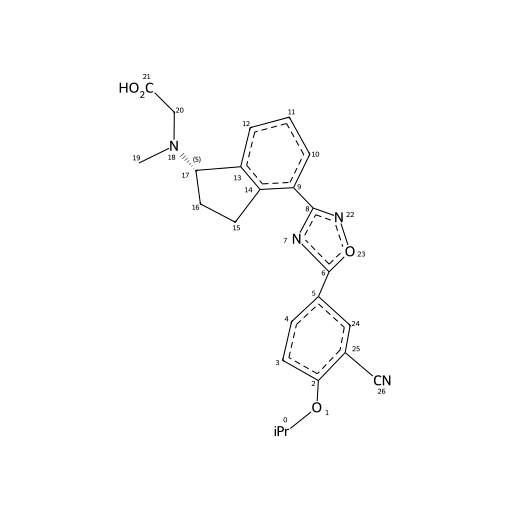 CC(C)Oc1ccc(-c2nc(-c3cccc4c3CC[C@@H]4N(C)CC(=O)O)no2)cc1C#N